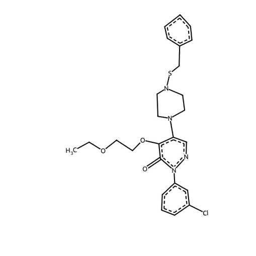 CCOCCOc1c(N2CCN(SCc3ccccc3)CC2)cnn(-c2cccc(Cl)c2)c1=O